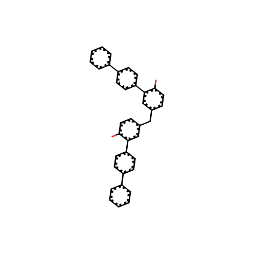 Oc1ccc(Cc2ccc(O)c(-c3ccc(-c4ccccc4)cc3)c2)cc1-c1ccc(-c2ccccc2)cc1